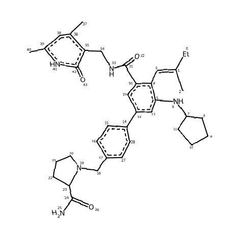 CC/C(C)=C/c1c(NC2CCCC2)cc(-c2ccc(CN3CCCC3C(N)=O)cc2)cc1C(=O)NCc1c(C)cc(C)[nH]c1=O